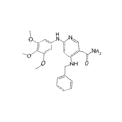 COc1cc(Nc2cc(NCc3ccccc3)c(C(N)=O)cn2)cc(OC)c1OC